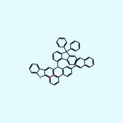 c1ccc(-c2ccc(-c3ccc4ccccc4c3)cc2N(c2ccc3sc4ccccc4c3c2)c2cccc3c2-c2ccccc2C3(c2ccccc2)c2ccccc2)cc1